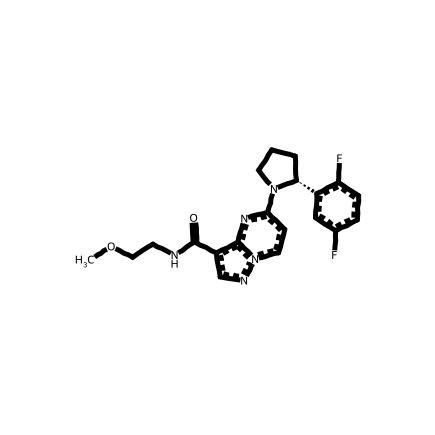 COCCNC(=O)c1cnn2ccc(N3CCC[C@@H]3c3cc(F)ccc3F)nc12